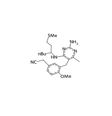 CCCCC(CCSC)Nc1nc(N)nc(C)c1Cc1cc(CC#N)ccc1OC